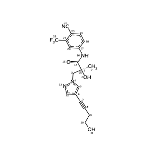 C[C@](O)(Cn1cc(C#CCCO)cn1)C(=O)Nc1ccc(C#N)c(C(F)(F)F)c1